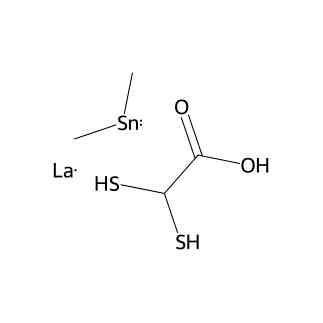 O=C(O)C(S)S.[CH3][Sn][CH3].[La]